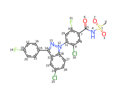 CS(=O)(=O)NC(=O)c1cc(Cl)c(-n2nc(-c3ccc(F)cc3)c3cc(Cl)ccc32)cc1F